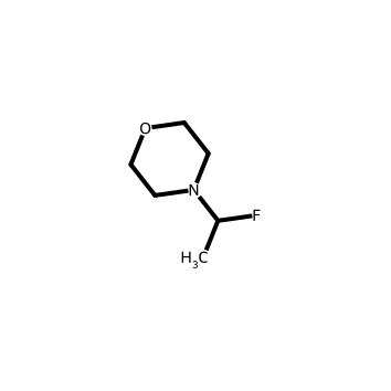 CC(F)N1CCOCC1